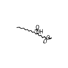 C=COC(=O)CCCCCCCCCCCCCCCC.CC(=O)O